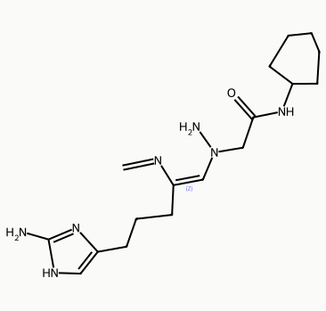 C=N/C(=C\N(N)CC(=O)NC1CCCCC1)CCCc1c[nH]c(N)n1